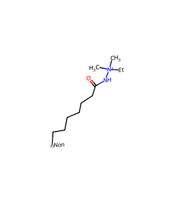 CCCCCCCCCCCCCCCC(=O)N[N+](C)(C)CC